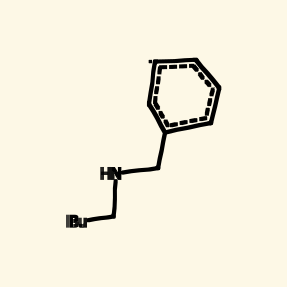 CCC(C)CNCc1c[c]ccc1